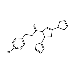 CC(=O)c1ccc(CCC(=O)C2C=C(C3CC=CC3)CC2C2=CC=CC2)cc1